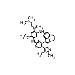 COc1cc(N(C)CCN(C)C)c(N)cc1Nc1ncc(-c2cnn(C)c2C)c(-c2cn3c4c(cccc24)CCC3)n1